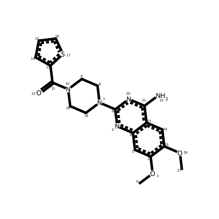 COc1cc2nc(N3CCN(C(=O)c4cccs4)CC3)nc(N)c2cc1OC